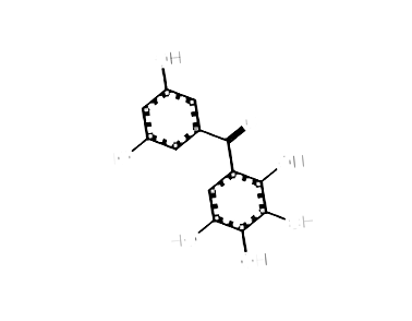 O=C(c1cc(O)cc(O)c1)c1cc(O)c(O)c(O)c1O